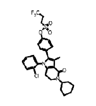 Cc1c2c(n(-c3ccccc3Cl)c1-c1ccc(OS(=O)(=O)CCC(F)(F)F)cc1)CCN(C1CCCCC1)C2=O